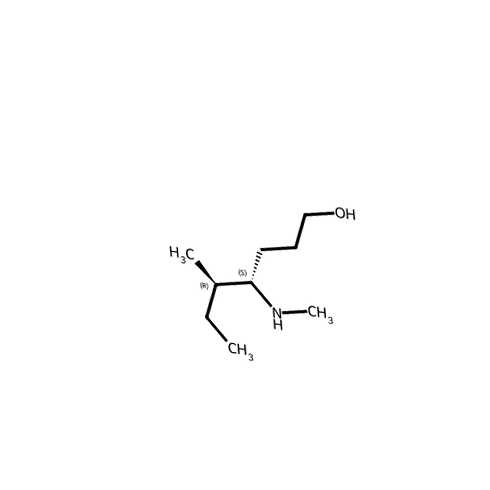 CC[C@@H](C)[C@H](CCCO)NC